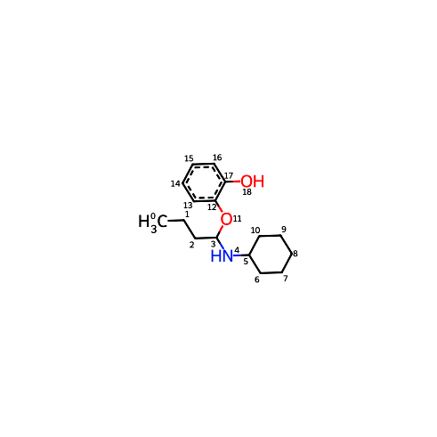 CCCC(NC1CCCCC1)Oc1ccccc1O